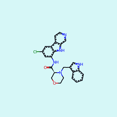 O=C(Nc1cc(Cl)cc2c1[nH]c1cnccc12)[C@@H]1COCCN1Cc1c[nH]c2ccccc12